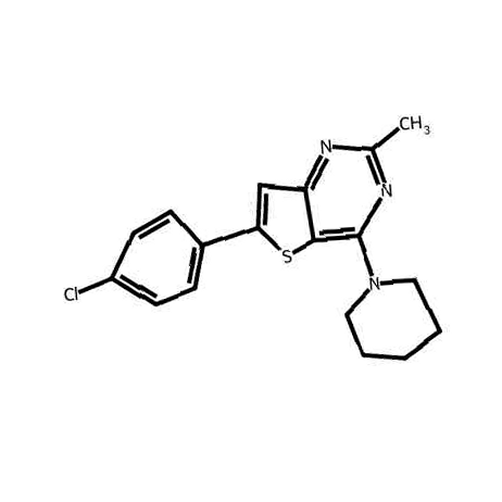 Cc1nc(N2CCCCC2)c2sc(-c3ccc(Cl)cc3)cc2n1